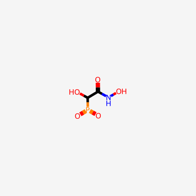 O=C(NO)C(O)P(=O)=O